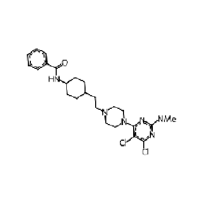 CNc1nc(Cl)c(Cl)c(N2CCN(CCC3CCC(NC(=O)c4ccccc4)CC3)CC2)n1